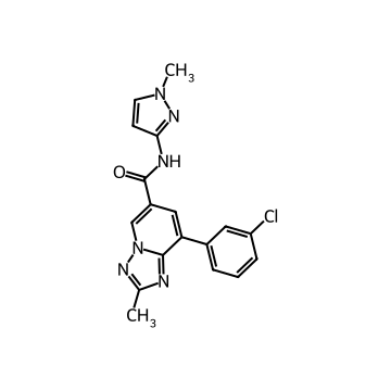 Cc1nc2c(-c3cccc(Cl)c3)cc(C(=O)Nc3ccn(C)n3)cn2n1